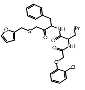 CC(C)CC(NC(=O)COc1ccccc1Cl)C(=O)NC(Cc1ccccc1)C(=O)CSCc1ccco1